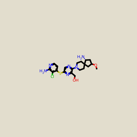 COC1C[C@@H](N)C2(CCN(c3ncc(Sc4ccnc(N)c4Cl)nc3CO)CC2)C1